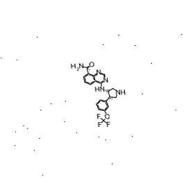 NC(=O)c1cccc2c(N[C@@H]3CNC[C@H]3c3cccc(OC(F)(F)F)c3)ncnc12